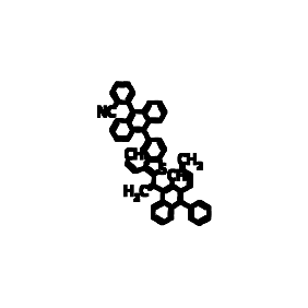 C=C/C=C\c1c(C)c(C(=C)c2sc3ccc(-c4c5ccccc5c(-c5ccccc5C#N)c5ccccc45)cc3c2/C=C\C)c2ccccc2c1-c1ccccc1